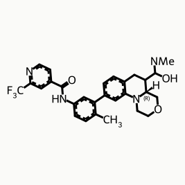 CNC(O)C1Cc2ccc(-c3cc(NC(=O)c4ccnc(C(F)(F)F)c4)ccc3C)cc2N2CCOC[C@@H]12